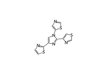 c1csc(-c2cn(-c3cncs3)c(-c3cscn3)n2)n1